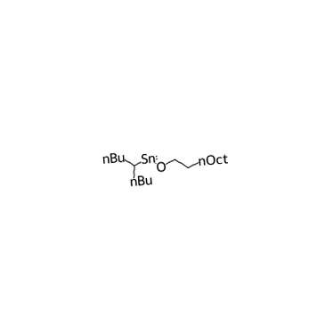 CCCCCCCCCC[O][Sn][CH](CCCC)CCCC